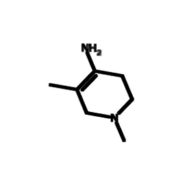 CC1=C(N)CCN(C)C1